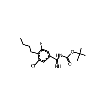 CCCCc1c(F)cc(C(=N)NC(=O)OC(C)(C)C)cc1Cl